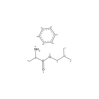 CC(C)COC(=O)C(C)N.c1ccccc1